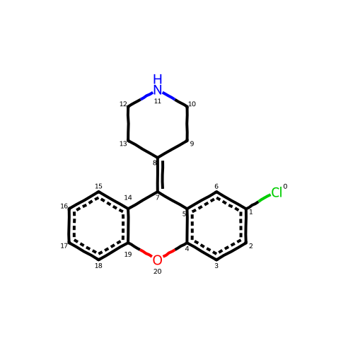 Clc1ccc2c(c1)C(=C1CCNCC1)c1ccccc1O2